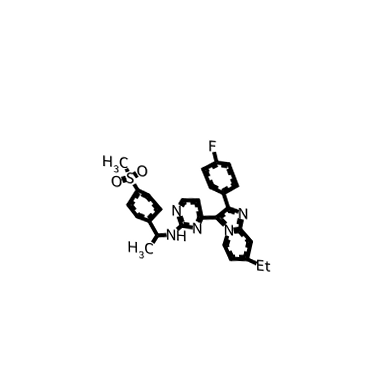 CCc1ccn2c(-c3ccnc(NC(C)c4ccc(S(C)(=O)=O)cc4)n3)c(-c3ccc(F)cc3)nc2c1